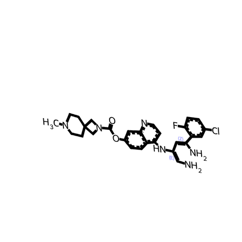 CN1CCC2(CC1)CN(C(=O)Oc1ccc3c(NC(/C=C(\N)c4cc(Cl)ccc4F)=C/N)ccnc3c1)C2